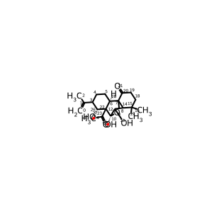 C=C(C)C1CC[C@H]2C34CO[C@](O)(C(O)C3C(C)(C)CCC4=O)C2(C(C)=O)[C@@H]1O